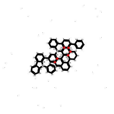 c1ccc(-c2ccc(-c3ccccc3N(c3cccc(-c4cccc5c6ccccc6n(-c6ccccc6)c45)c3)c3ccccc3-c3cccc4cccc(C5CCCCC5)c34)cc2)cc1